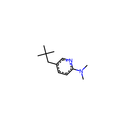 CN(C)c1ccc(CC(C)(C)C)cn1